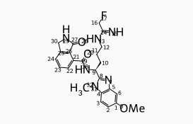 COc1ccc2c(c1)nc([C@H](CCCNC(=N)CF)NC(=O)c1cccc3c1C(=O)NC3)n2C